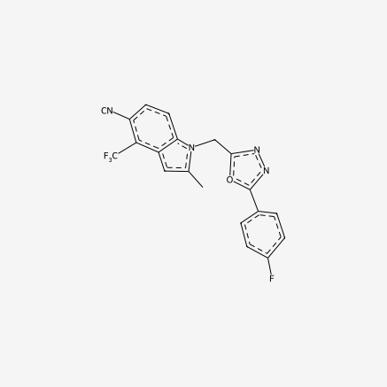 [C-]#[N+]c1ccc2c(cc(C)n2Cc2nnc(-c3ccc(F)cc3)o2)c1C(F)(F)F